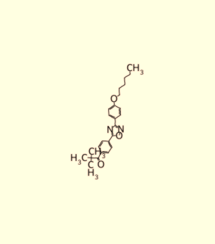 CCCCCCOc1ccc(-c2noc(-c3ccc(C(=O)C(C)(C)C)cc3)n2)cc1